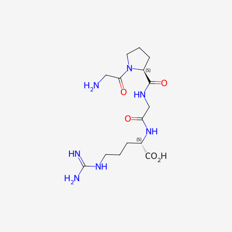 N=C(N)NCCC[C@H](NC(=O)CNC(=O)[C@@H]1CCCN1C(=O)CN)C(=O)O